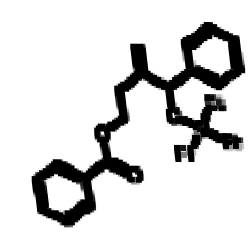 C=C(CCOC(=O)c1ccccc1)C(O[Si](CC)(CC)CC)c1ccccc1